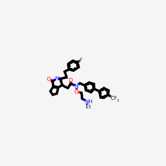 CCNCCON(Cc1ccc(-c2ccc(C(F)(F)F)cc2)cc1)C(=O)CC1C(CCc2ccc(F)cc2)=NC(=O)C2=C1CCC2